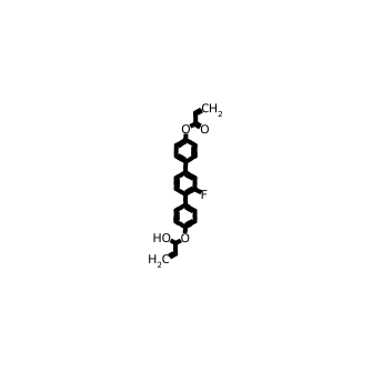 C=CC(=O)Oc1ccc(-c2ccc(-c3ccc(OC(O)C=C)cc3)c(F)c2)cc1